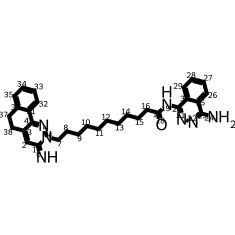 N=c1cc2c(nn1CCCCCCCCCCC(=O)Nc1nnc(N)c3ccccc13)-c1ccccc1CC2